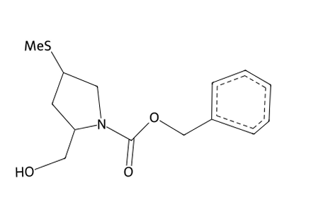 CSC1CC(CO)N(C(=O)OCc2ccccc2)C1